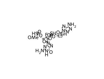 COP(=O)(S)OC[C@H]1O[C@@H](n2cnc3c(=O)[nH]c(N)nc32)[C@H](OP(=O)(S)OC[C@]23CC[C@H](C2)[C@H](n2cnc4c(N)ncnc42)O3)[C@@H]1F